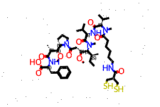 CC[C@H](C)[C@@H]([C@@H](CC(=O)N1CCC[C@H]1[C@H](OC)[C@@H](C)C(=O)N[C@@H](Cc1ccccc1)C(=O)O)OC)N(C)C(=O)[C@@H](NC(=O)[C@H](C(C)C)N(C)C(=O)CCCCCNC(=O)C(CS)CS)C(C)C